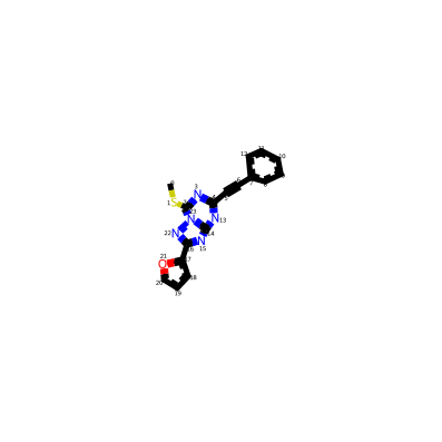 CSc1nc(C#Cc2ccccc2)nc2nc(-c3ccco3)nn12